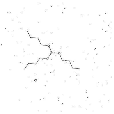 CCCC[O][Sn+]([O]CCCC)[O]CCCC.[Cl-]